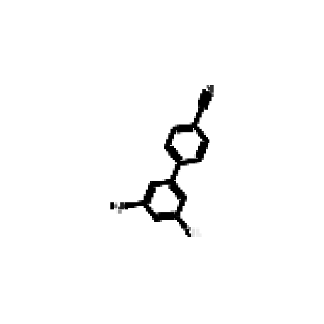 Cc1cc(N)cc(-c2ccc(C#N)cc2)c1